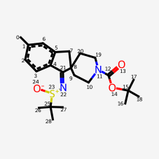 Cc1ccc2c(c1)CC1(CCN(C(=O)OC(C)(C)C)CC1)C2=N[S+]([O-])C(C)(C)C